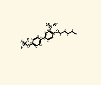 CCCCCOc1ccc(-c2ccc(OC(F)(F)F)cc2)cc1[N+](=O)[O-]